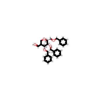 O=CC1CO[C@H](COCc2ccccc2)[C@H](OCc2ccccc2)[C@@H]1OCc1ccccc1